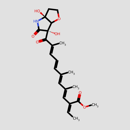 C/C=C(/C=C(C)/C=C(C)/C=C/C=C(\C)C(=O)[C@@]1(O)C(=O)N[C@]2(O)CCOC12)C(=O)OC